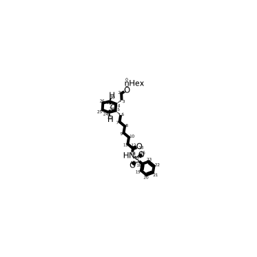 CCCCCCOCC[C@@H]1[C@H](CCCCCCC(=O)NS(=O)(=O)c2ccccc2)[C@@H]2CC[C@H]1O2